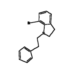 Brc1cccc2c1N(CCc1ccccc1)CC2